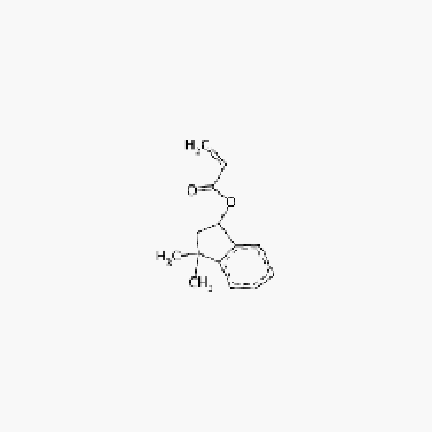 C=CC(=O)OC1CC(C)(C)c2ccccc21